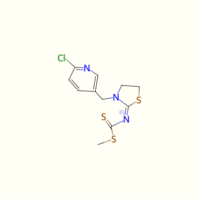 CSC(=S)/N=C1/SCCN1Cc1ccc(Cl)nc1